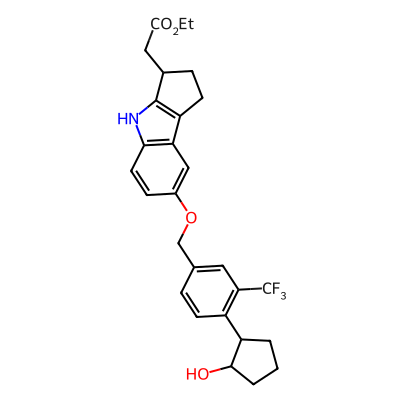 CCOC(=O)CC1CCc2c1[nH]c1ccc(OCc3ccc(C4CCCC4O)c(C(F)(F)F)c3)cc21